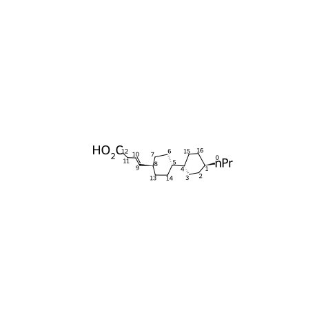 CCC[C@H]1CC[C@H]([C@H]2CC[C@H](C=CCC(=O)O)CC2)CC1